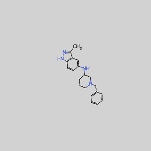 Cc1n[nH]c2ccc(NC3CCCN(Cc4ccccc4)C3)cc12